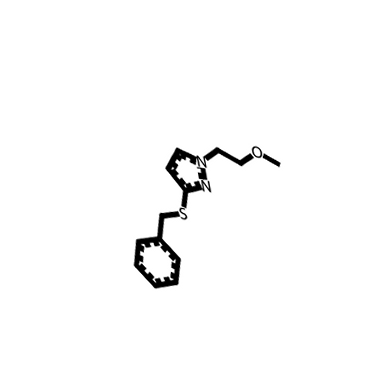 COCCn1ccc(SCc2ccccc2)n1